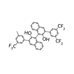 Cc1cc(-c2cc3ccccc3c(-c3c(O)c(-c4cc(C(F)(F)F)cc(C(F)(F)F)c4)cc4ccccc34)c2O)cc(C(F)(F)F)c1